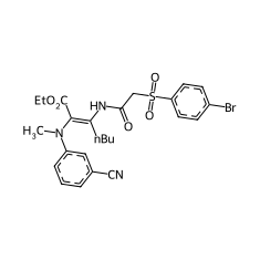 CCCC/C(NC(=O)CS(=O)(=O)c1ccc(Br)cc1)=C(/C(=O)OCC)N(C)c1cccc(C#N)c1